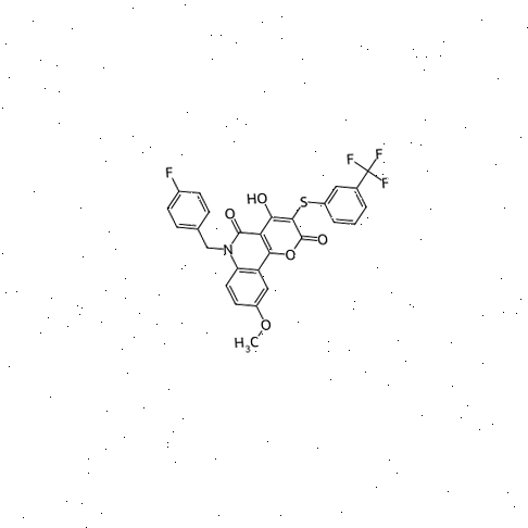 COc1ccc2c(c1)c1oc(=O)c(Sc3cccc(C(F)(F)F)c3)c(O)c1c(=O)n2Cc1ccc(F)cc1